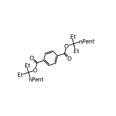 CCCCCC(CC)(CC)OC(=O)c1ccc(C(=O)OC(CC)(CC)CCCCC)cc1